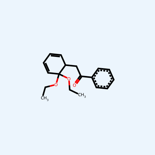 CCOC1(OCC)C=CC=CC1CC(=O)c1ccccc1